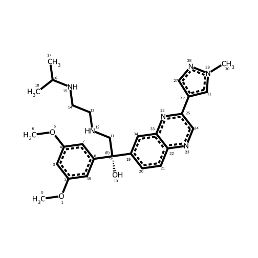 COc1cc(OC)cc([C@@](O)(CNCCNC(C)C)c2ccc3ncc(-c4cnn(C)c4)nc3c2)c1